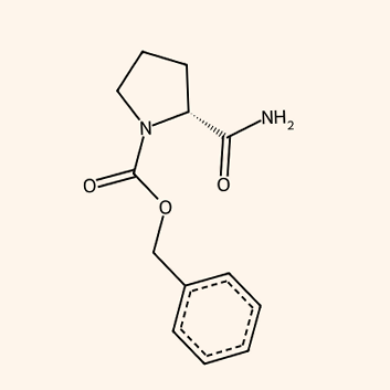 NC(=O)[C@H]1CCCN1C(=O)OCc1ccccc1